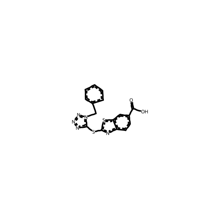 O=C(O)c1ccc2nc(Sc3nnnn3Cc3ccccc3)sc2c1